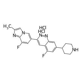 Cc1cn2cc(-c3cc4c(F)cc(C5CCNCC5)cc4nn3)cc(F)c2n1.Cl.Cl